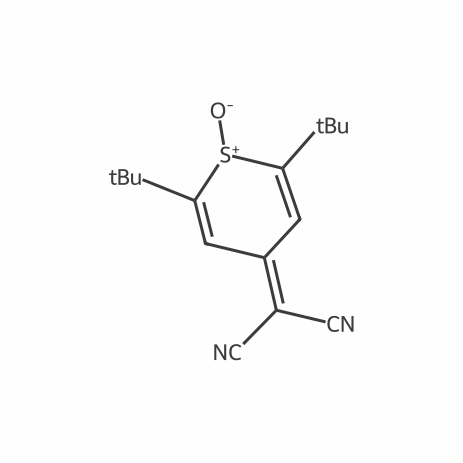 CC(C)(C)C1=CC(=C(C#N)C#N)C=C(C(C)(C)C)[S+]1[O-]